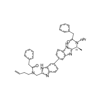 C=CCCN(Cc1nc2ccc(-c3ccc4[nH]c([C@H](C)N(CCC)C(=O)Cc5ccccc5)nc4c3)cc2[nH]1)C(=O)Cc1ccccc1